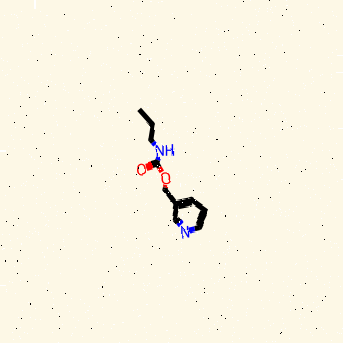 CCCNC(=O)OCc1cccnc1